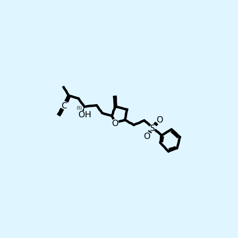 C=C=C(C)C[C@@H](O)CCC1OC(CCS(=O)(=O)c2ccccc2)CC1=C